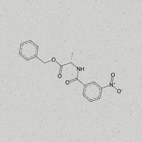 C[C@H](NC(=O)c1cccc([N+](=O)[O-])c1)C(=O)OCc1ccccc1